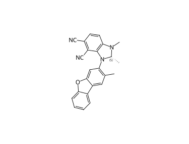 Cc1cc2c(cc1N1c3c(ccc(C#N)c3C#N)N(C)[C@@H]1C)oc1ccccc12